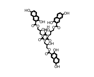 O=C(OCC(O)Cn1c(=O)n(CC(O)COC(=O)c2cc3cc(O)ccc3cc2O)c(=O)n(CC(O)COC(=O)c2cc3cc(O)ccc3cc2O)c1=O)c1cc2cc(O)ccc2cc1O